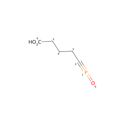 O=P#CCCCC(=O)O